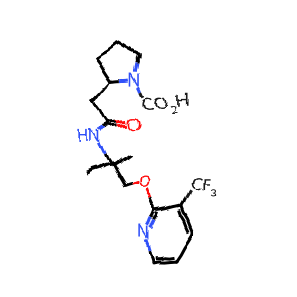 CC(C)(COc1ncccc1C(F)(F)F)NC(=O)C[C@H]1CCCN1C(=O)O